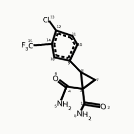 NC(=O)C1(C(N)=O)CC1c1ccc(Cl)c(C(F)(F)F)c1